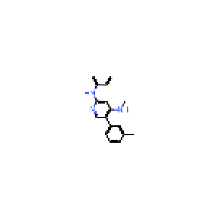 C=CC(=C)Nc1cc(NC)c(-c2cccc(C)c2)cn1